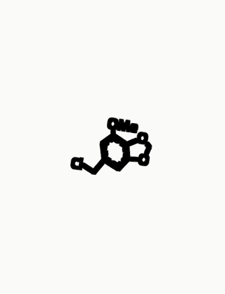 COc1cc(CCl)cc2c1OCO2